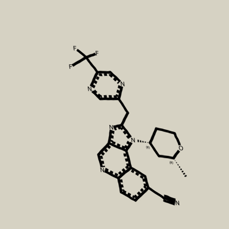 C[C@@H]1C[C@H](n2c(Cc3cnc(C(F)(F)F)cn3)nc3cnc4ccc(C#N)cc4c32)CCO1